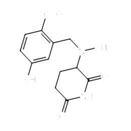 Cc1ccc(C=O)c(CN(C)C2CCC(=O)NC2=O)c1